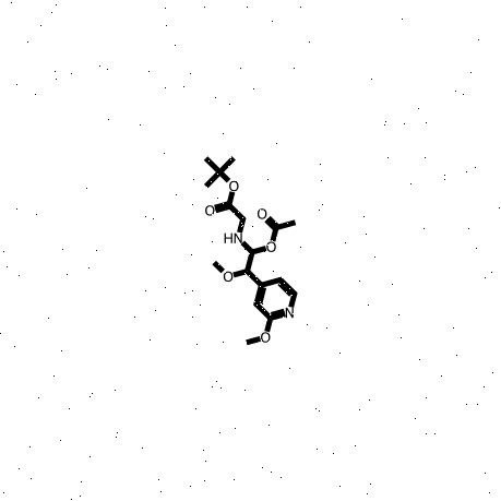 COc1cc(C(OC)C(NCC(=O)OC(C)(C)C)OC(C)=O)ccn1